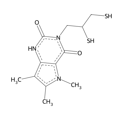 Cc1c(C)n(C)c2c(=O)n(CC(S)CS)c(=O)[nH]c12